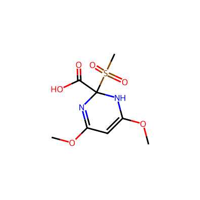 COC1=CC(OC)=NC(C(=O)O)(S(C)(=O)=O)N1